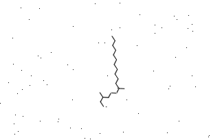 [CH2]CC(C)CCCC(C)CCCCCCCCCCC